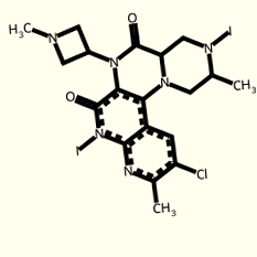 Cc1nc2c(cc1Cl)c1c(c(=O)n2I)N(C2CN(C)C2)C(=O)C2CN(I)C(C)CN12